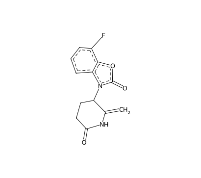 C=C1NC(=O)CCC1n1c(=O)oc2c(F)cccc21